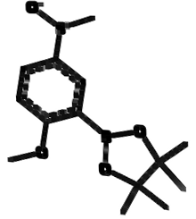 COc1ccc([S+](C)[O-])cc1B1OC(C)(C)C(C)(C)O1